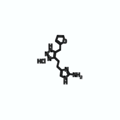 Cl.Nc1nc(CCc2nn[nH]c2Cc2ccco2)c[nH]1